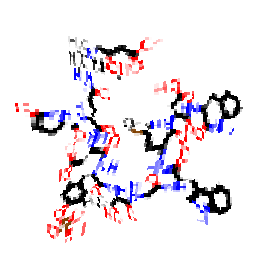 CSCC[C@H](NC(=O)[C@H](Cc1c[nH]c2ccccc12)NC(=O)CNC(=O)[C@@H](NC(=O)[C@H](Cc1ccc(OS(=O)(=O)O)cc1)NC(=O)[C@H](CC(=O)O)NC(=O)[C@H](CCC(N)=O)NC(=O)[C@@H]1CCC(=O)N1)[C@@H](C)O)C(=O)N[C@@H](CC(=O)O)C(=O)N[C@@H](Cc1ccccc1)C(N)=O.C[N+](C)(C)CC(O)CC(=O)[O-]